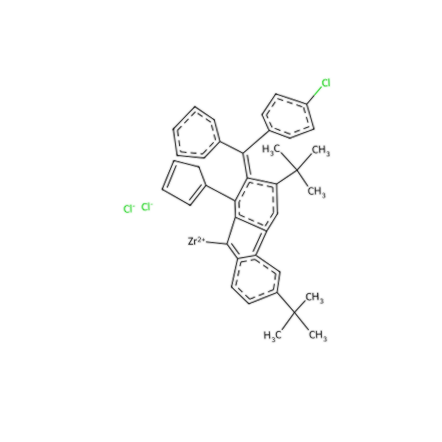 CC(C)(C)c1ccc2c(c1)=c1cc(C(C)(C)C)c(=C(c3ccccc3)c3ccc(Cl)cc3)c(C3=CC=CC3)c1[C]=2[Zr+2].[Cl-].[Cl-]